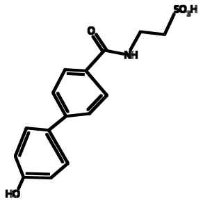 O=C(NCCS(=O)(=O)O)c1ccc(-c2ccc(O)cc2)cc1